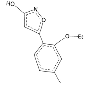 CCOc1cc(C)ccc1-c1cc(O)no1